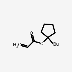 C=CC(=O)OC1(C(C)CC)CCCC1